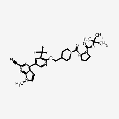 Cn1ccc2c(-c3cnc(OCC4CCN(C(=O)[C@@H]5CCCN5C(=O)OC(C)(C)C)CC4)c(C(F)(F)F)c3)nc(C#N)nc21